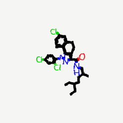 CCC(CC)CCC(C)CNC(=O)c1nn(-c2ccc(Cl)cc2Cl)c2c1CCc1cc(Cl)ccc1-2